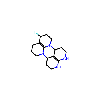 FC1CCN2C3=C1CCCN3C1CCNC3=C1C2CCN3